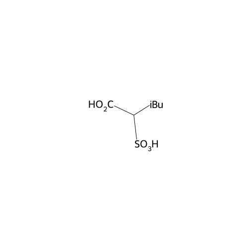 CCC(C)C(C(=O)O)S(=O)(=O)O